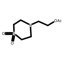 CC(=O)OCCN1CCS(=O)(=O)CC1